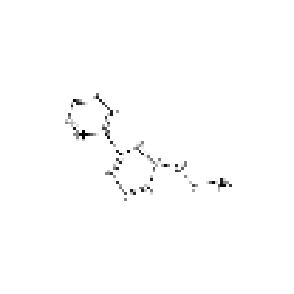 CC(C)(C)COc1cccc(-c2ccccn2)c1